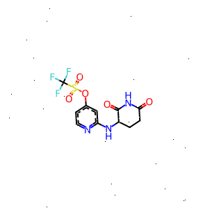 O=C1CCC(Nc2cc(OS(=O)(=O)C(F)(F)F)ccn2)C(=O)N1